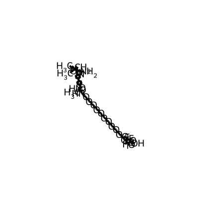 C=C(C1=Cc2ccc(-c3ccc(C(=O)N[C@H](C)C(=O)NCCOCCOCCOCCOCCOCCOCCOCCOCCOCCOCCC(=O)Oc4c(F)c(F)c(S(=O)(=O)O)c(F)c4F)cc3)cc2N=C(N)C1)N(CCC)OCC